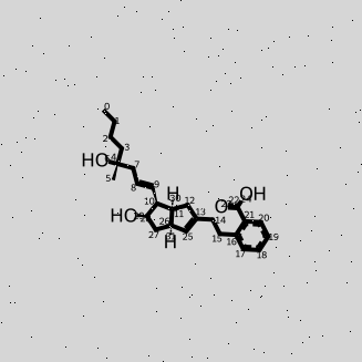 CCCC[C@@](C)(O)C/C=C/[C@H]1[C@H]2CC(CCc3ccccc3C(=O)O)=C[C@H]2C[C@H]1O